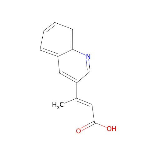 CC(=CC(=O)O)c1cnc2ccccc2c1